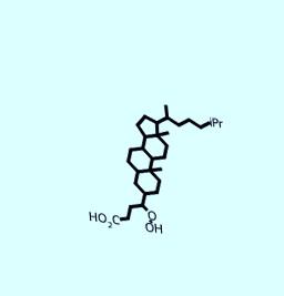 CC(C)CCCC(C)C1CCC2C3CCC4CC(C(CCC(=O)O)OO)CCC4(C)C3CCC12C